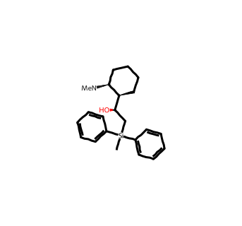 CN[C@H]1CCCC[C@H]1[C@H](O)C[Si](C)(c1ccccc1)c1ccccc1